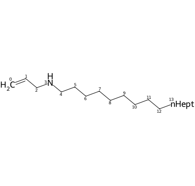 C=CCNCCCCCCCCCCCCCCCC